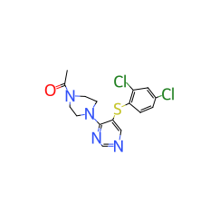 CC(=O)N1CCN(c2ncncc2Sc2ccc(Cl)cc2Cl)CC1